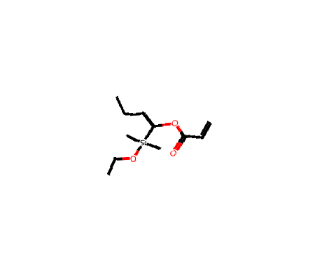 C=CC(=O)OC(CCC)[Si](C)(C)OCC